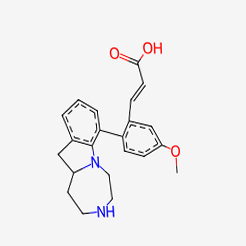 COc1ccc(-c2cccc3c2N2CCNCCC2C3)c(/C=C/C(=O)O)c1